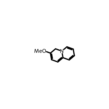 COC1=CC=C2C=CC=CN2C1